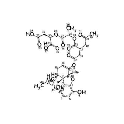 CC[C@]12c3c4ccc(O)c3O[C@H]1C(OC(=O)C[C@H](CC(C)=O)C(=O)O[C@@H](C)C(=O)O[C@H](CC(=O)O)C(=O)O)=CC[C@@]2(O)[C@H](NC)C4